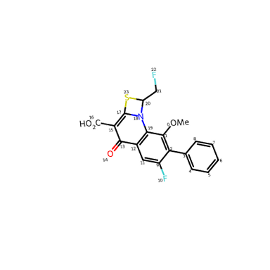 COc1c(-c2ccccc2)c(F)cc2c(=O)c(C(=O)O)c3n(c12)C(CF)S3